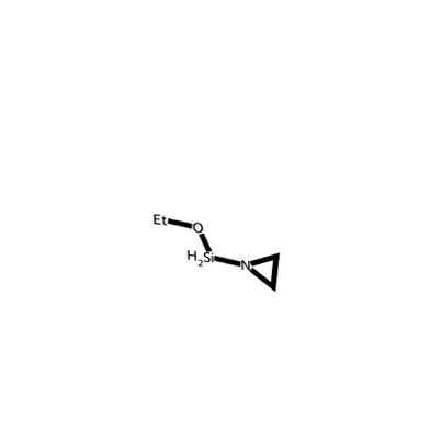 CCO[SiH2]N1CC1